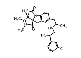 COC(=O)C1(C(=O)OC)Cc2cc(CC(C)NCC(O)c3cccc(Cl)c3)ccc2N1C(C)=O